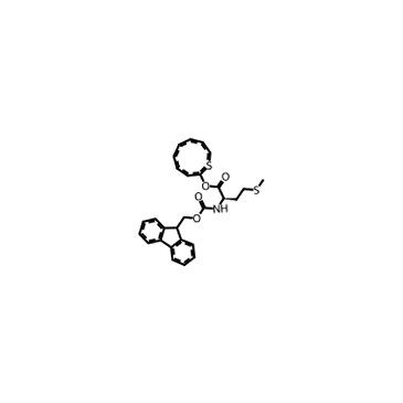 CSCC[C@@H](NC(=O)OCC1c2ccccc2-c2ccccc21)C(=O)Oc1cccccccs1